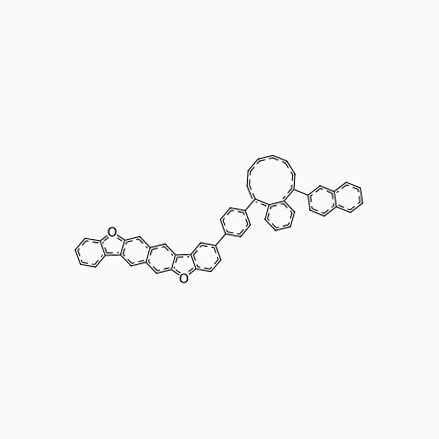 c1cccc(-c2ccc3ccccc3c2)c2ccccc2c(-c2ccc(-c3ccc4oc5cc6cc7c(cc6cc5c4c3)oc3ccccc37)cc2)cc1